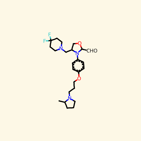 CC1CCCN1CCCOc1ccc(N2C(CN3CCC(F)(F)CC3)COC2C=O)cc1